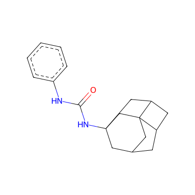 O=C(Nc1ccccc1)NC12CC3CC4CC(C1)C4(C3)C2